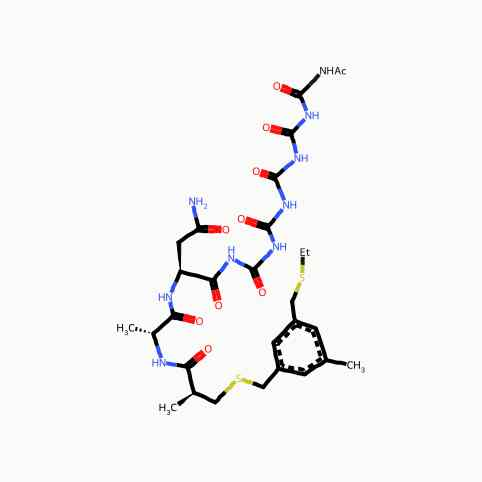 CCSCc1cc(C)cc(CSC[C@@H](C)C(=O)N[C@H](C)C(=O)N[C@@H](CC(N)=O)C(=O)NC(=O)NC(=O)NC(=O)NC(=O)NC(=O)NC(C)=O)c1